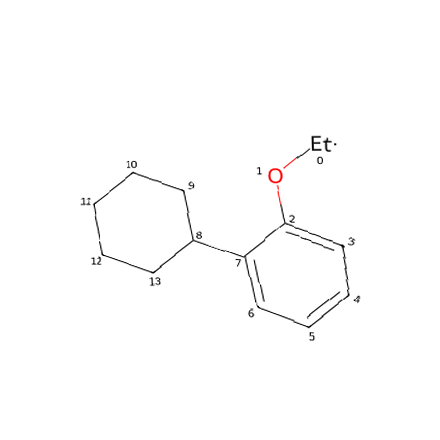 C[CH]Oc1ccccc1C1CCCCC1